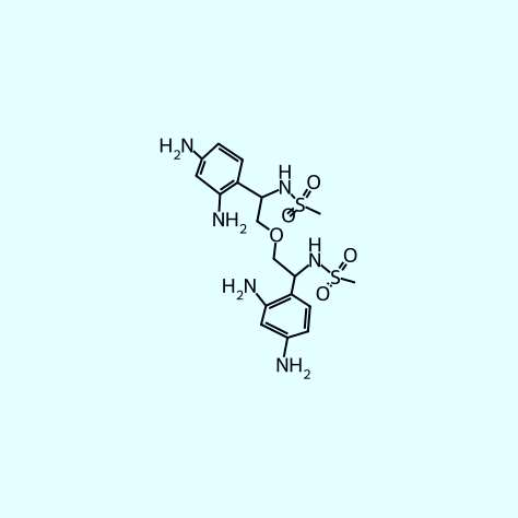 CS(=O)(=O)NC(COCC(NS(C)(=O)=O)c1ccc(N)cc1N)c1ccc(N)cc1N